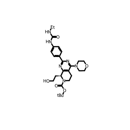 CCNC(=O)Nc1ccc(-c2nc3c(c(N4CCOCC4)n2)CCN(C(=O)OC(C)(C)C)[C@H]3CCO)cc1